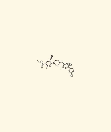 CCOC(=O)c1cc(C#N)c(N2CCC(CC(=O)NS(=O)(=O)c3ccc(Cl)s3)CC2)nc1C